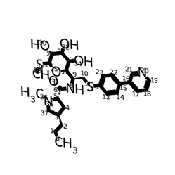 CCC[C@@H]1C[C@@H](C(=O)N[C@H](CSc2ccc(-c3cccnc3)cc2)[C@H]2OC(SC)[C@H](O)C(O)C2O)N(C)C1